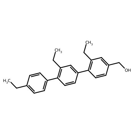 CCc1ccc(-c2ccc(-c3ccc(CO)cc3CC)cc2CC)cc1